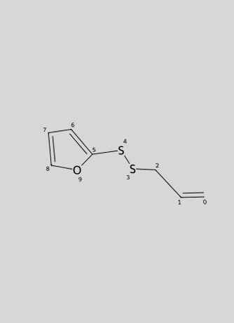 C=CCSSc1ccco1